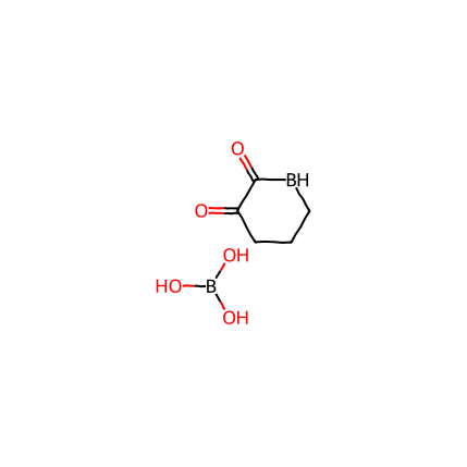 O=C1BCCCC1=O.OB(O)O